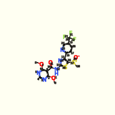 COc1ncnc(OC)c1C(=O)Nc1nc(-c2ccc(C(F)(F)F)cn2)c([S+](C)[O-])s1